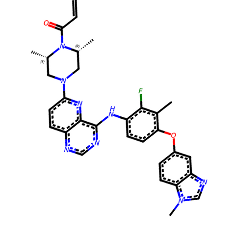 C=CC(=O)N1[C@H](C)CN(c2ccc3ncnc(Nc4ccc(Oc5ccc6c(c5)ncn6C)c(C)c4F)c3n2)C[C@@H]1C